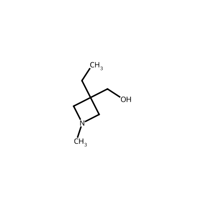 CCC1(CO)CN(C)C1